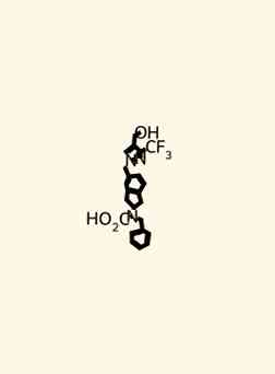 O=C(O)N(Cc1ccccc1)C1Cc2ccc(Cn3cc(CO)c(C(F)(F)F)n3)cc2C1